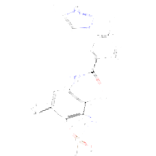 CCOC(=O)c1cn(-c2cc(C(=O)Nc3cc(C(C)(C)C)cc(NS(C)(=O)=O)c3OC)ccc2Cl)nn1